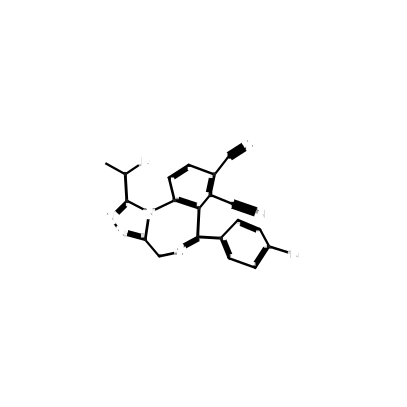 CC(Br)c1nnc2n1-c1ccc(C#N)c(C#N)c1C(c1ccc(Br)cc1)=NC2